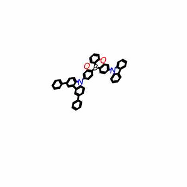 c1ccc(-c2ccc3c(c2)c2cc(-c4ccccc4)ccc2n3-c2ccc3c(c2)Oc2cccc4c2B3c2ccc(-n3c5ccccc5c5ccccc53)cc2O4)cc1